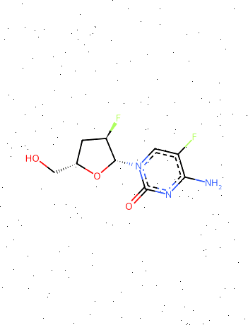 Nc1nc(=O)n([C@@H]2O[C@H](CO)C[C@H]2F)cc1F